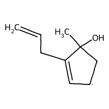 C=CCC1=C[CH]CC1(C)O